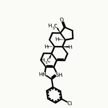 C[C@]12CCC3=C([SH]=C(c4cccc(Cl)c4)N3)C1=CC[C@@H]1[C@@H]2CC[C@]2(C)C(=O)CC[C@@H]12